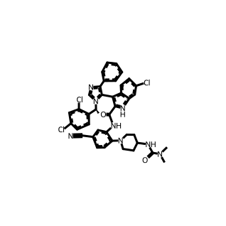 C[C@@H](c1ccc(Cl)cc1Cl)n1cnc(-c2ccccc2)c1-c1c(C(=O)Nc2cc(C#N)ccc2N2CCC(NC(=O)N(C)C)CC2)[nH]c2cc(Cl)ccc12